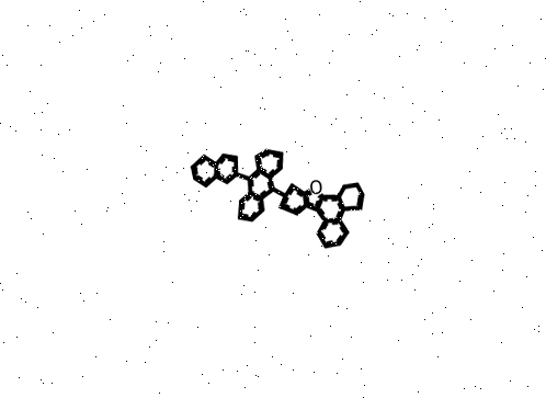 C1=Cc2c(c3oc4cc(-c5c6ccccc6c(-c6ccc7ccccc7c6)c6ccccc56)ccc4c3c3ccccc23)CC1